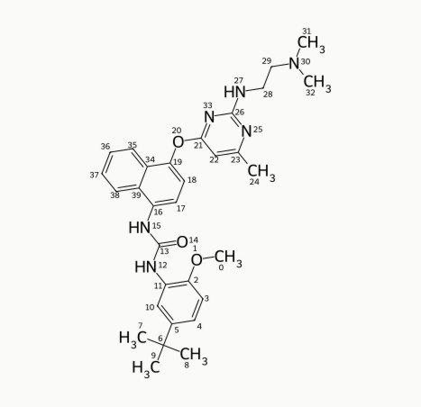 COc1ccc(C(C)(C)C)cc1NC(=O)Nc1ccc(Oc2cc(C)nc(NCCN(C)C)n2)c2ccccc12